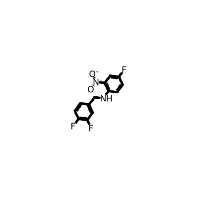 O=[N+]([O-])c1cc(F)ccc1NCc1ccc(F)c(F)c1